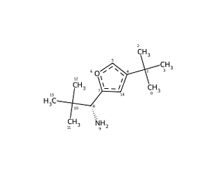 CC(C)(C)c1coc([C@H](N)C(C)(C)C)c1